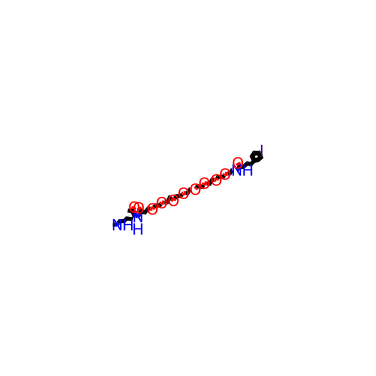 CNCCCC[C@H](NC(=O)CCOCCOCCOCCOCCOCCOCCOCCOCCNC(=O)CCCc1ccc(I)cc1)C(C)=O